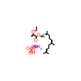 C=C(OCC)C(=O)OC=C=C(C)CCC=C(C)CCC=C(C)C.N.O=S(=O)(O)O